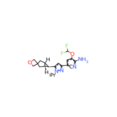 CC(C)n1nc(-c2cnc(N)c(OC(F)F)c2)cc1[C@H]1[C@@H]2CC3(COC3)C[C@@H]21